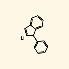 C1=CC(c2ccccc2)c2ccccc21.[Li]